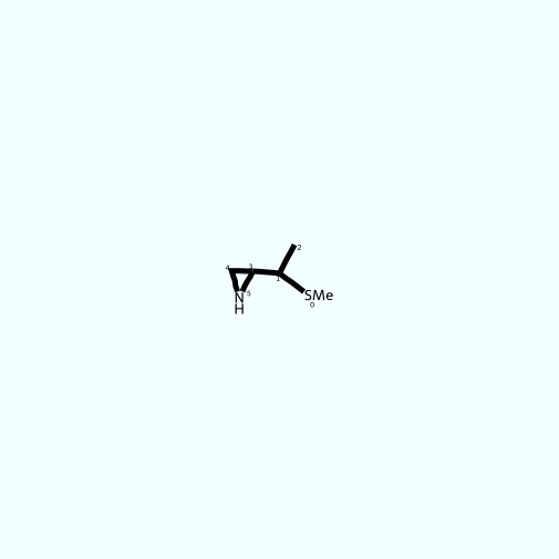 CSC(C)C1CN1